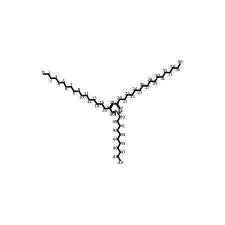 CCCCCCCCCCCCCCCCCc1cc(CCCCCCCCCCCCCCCCC)c[n+](CCCCCCCCCCC)c1